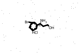 Cl.N[C@H](CCO)c1cccc(Br)c1